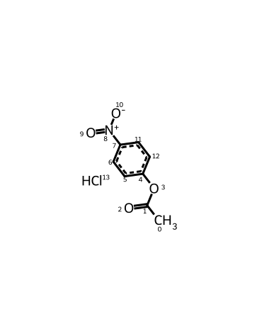 CC(=O)Oc1ccc([N+](=O)[O-])cc1.Cl